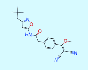 COC(=C(C#N)C#N)c1ccc(CC(=O)Nc2cc(CC(C)(C)C)no2)cc1